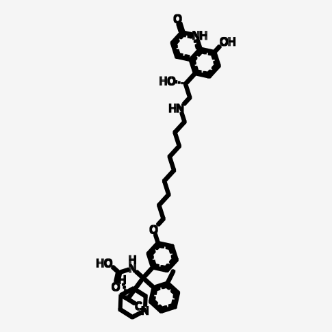 Cc1ccccc1C(NC(=O)O)(c1cccc(OCCCCCCCCCNC[C@H](O)c2ccc(O)c3[nH]c(=O)ccc23)c1)[C@H]1CN2CCC1CC2